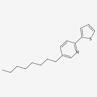 CCCCCCCCc1ccc(-c2cccs2)nc1